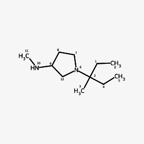 CCC(C)(CC)N1CCC(NC)C1